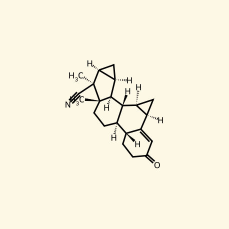 C[C@]1(C#N)[C@H]2C[C@H]2[C@H]2[C@@H]3[C@H]4C[C@H]4C4=CC(=O)CC[C@@H]4[C@H]3CC[C@@]21C